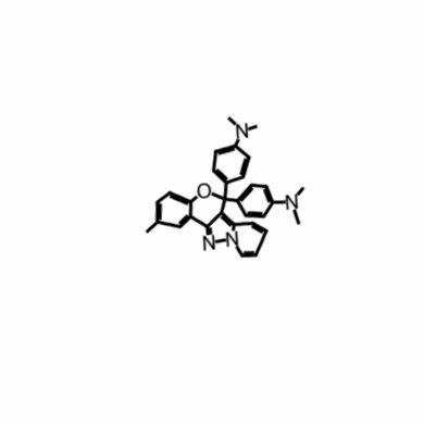 Cc1ccc2c(c1)-c1nn3ccccc3c1C(c1ccc(N(C)C)cc1)(c1ccc(N(C)C)cc1)O2